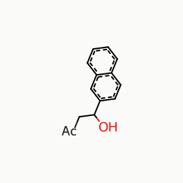 CC(=O)CC(O)c1ccc2ccccc2c1